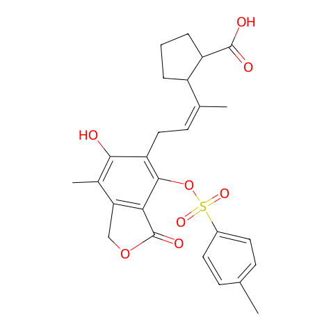 CC(=CCc1c(O)c(C)c2c(c1OS(=O)(=O)c1ccc(C)cc1)C(=O)OC2)C1CCCC1C(=O)O